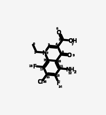 CCn1cc(C(=O)O)c(=O)c2c(N)c(F)c(Cl)c(F)c21